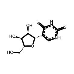 OC[C@H]1O[C@@H](c2c[nH]c(=S)[nH]c2=S)[C@H](O)[C@@H]1O